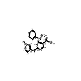 CCN(c1ccccc1)c1nc(Nc2cnn(C)c2)ncc1C(N)=O